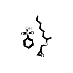 CCCCCCC(C)OCC1CO1.O=S(=O)(O)c1ccccc1